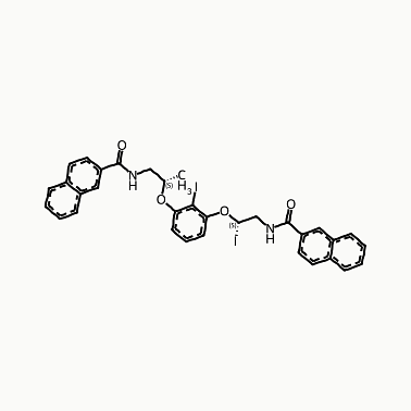 C[C@@H](CNC(=O)c1ccc2ccccc2c1)Oc1cccc(O[C@@H](I)CNC(=O)c2ccc3ccccc3c2)c1I